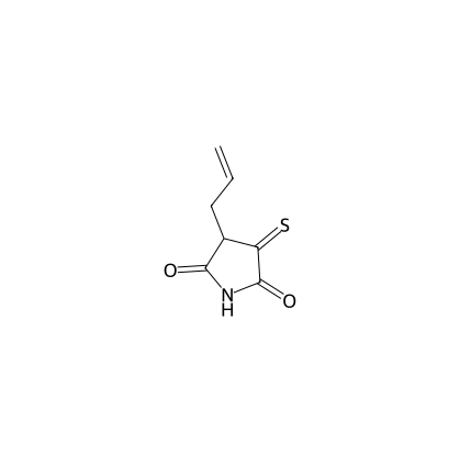 C=CCC1C(=O)NC(=O)C1=S